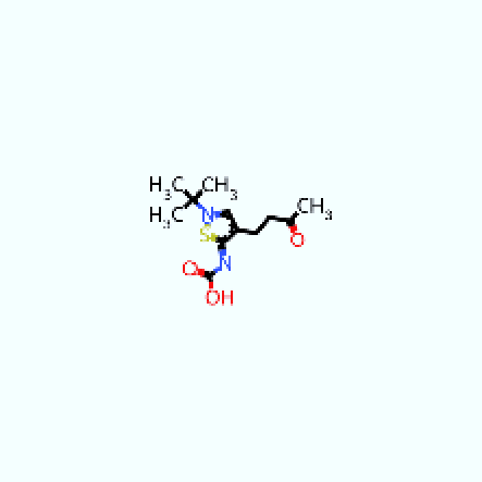 CC(=O)CCc1cn(C(C)(C)C)s/c1=N\C(=O)O